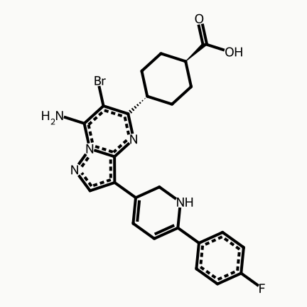 Nc1c(Br)c([C@H]2CC[C@H](C(=O)O)CC2)nc2c(C3=CC=C(c4ccc(F)cc4)NC3)cnn12